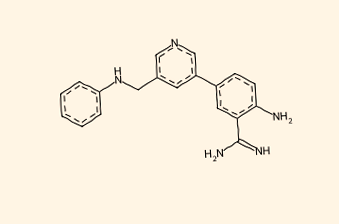 N=C(N)c1cc(-c2cncc(CNc3ccccc3)c2)ccc1N